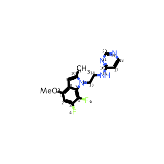 COc1cc(F)c(F)c2c1cc(C)n2CCNc1ccncn1